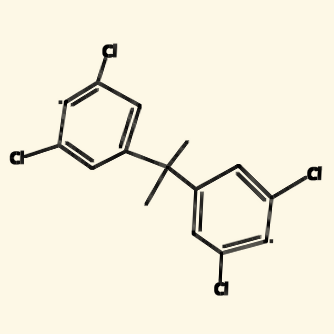 CC(C)(c1cc(Cl)[c]c(Cl)c1)c1cc(Cl)[c]c(Cl)c1